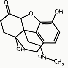 CNCCC12c3c4ccc(O)c3OC1C(=O)CCC2(O)CC4